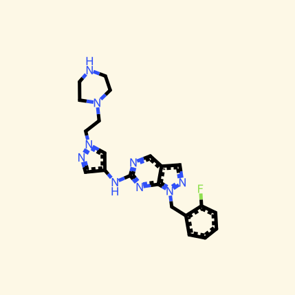 Fc1ccccc1Cn1ncc2cnc(Nc3cnn(CCN4CCNCC4)c3)nc21